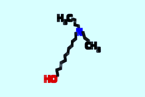 CCCCN(CCCC)CCCCCCCCCCCCO